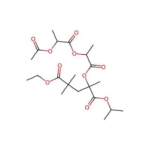 CCOC(=O)C(C)(C)CC(C)(OC(=O)C(C)OC(=O)C(C)OC(C)=O)C(=O)OC(C)C